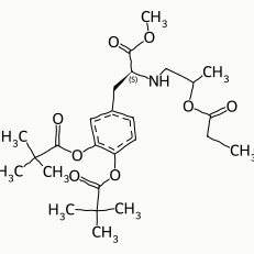 CCC(=O)OC(C)CN[C@@H](Cc1ccc(OC(=O)C(C)(C)C)c(OC(=O)C(C)(C)C)c1)C(=O)OC